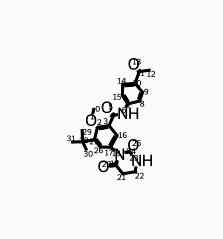 COc1c(C(=O)Nc2ccc(C(C)=O)cc2)cc(N2C(=O)CCNC2=O)cc1C(C)(C)C